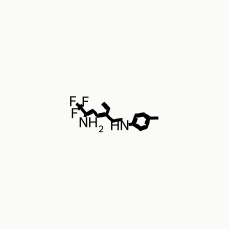 C=C/C(=C\C=C(/N)C(F)(F)F)CCNc1ccc(C)cc1